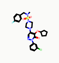 CN(Cc1ccc(F)cc1)S(=O)(=O)N1CCN(c2cnn(-c3cccc(Cl)c3)c(=O)c2OC2CCCC2)CC1